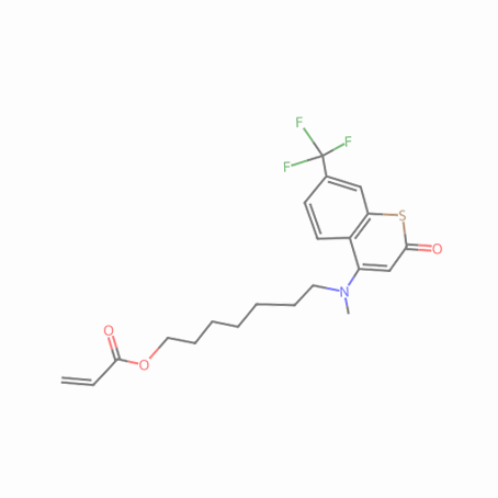 C=CC(=O)OCCCCCCCN(C)c1cc(=O)sc2cc(C(F)(F)F)ccc12